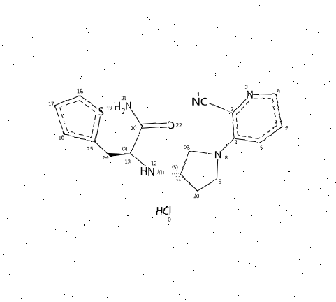 Cl.N#Cc1ncccc1N1CC[C@H](N[C@@H](Cc2cccs2)C(N)=O)C1